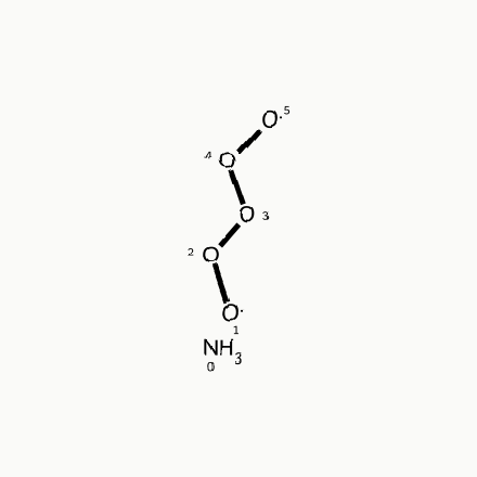 N.[O]OOO[O]